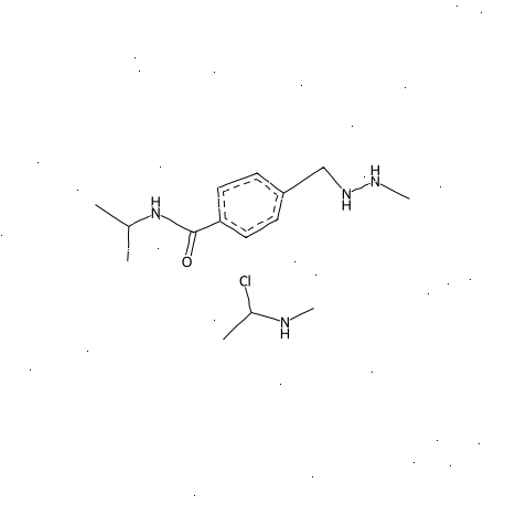 CNC(C)Cl.CNNCc1ccc(C(=O)NC(C)C)cc1